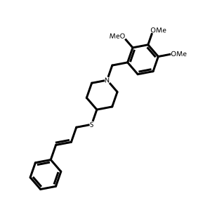 COc1ccc(CN2CCC(SC/C=C/c3ccccc3)CC2)c(OC)c1OC